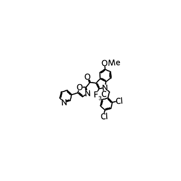 COc1ccc2c(c1)c(C(=O)c1ncc(-c3cccnc3)o1)c(C(F)(F)F)n2Cc1ccc(Cl)cc1Cl